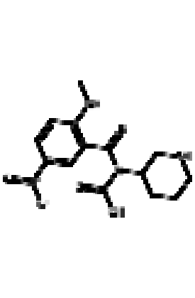 CNc1ccc([N+](=O)[O-])cc1C(=O)N(C(=O)O)C1CCCNC1